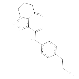 NCCc1ccc(NC(=O)c2n[nH]c3c2C(=O)CCC3)cc1